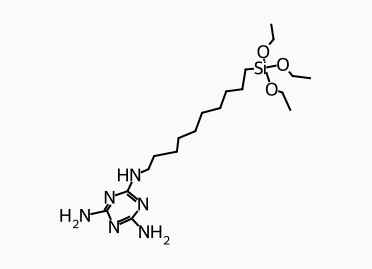 CCO[Si](CCCCCCCCCCNc1nc(N)nc(N)n1)(OCC)OCC